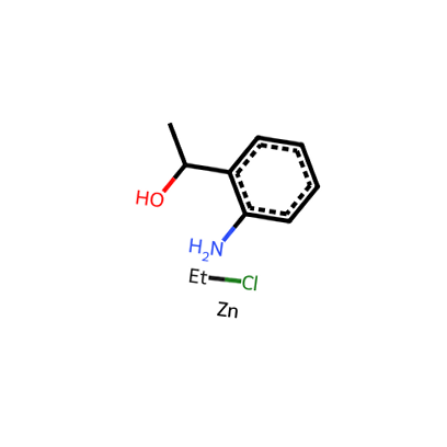 CC(O)c1ccccc1N.CCCl.[Zn]